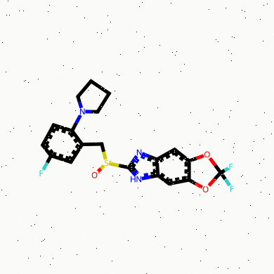 [O-][S+](Cc1cc(F)ccc1N1CCCC1)c1nc2cc3c(cc2[nH]1)OC(F)(F)O3